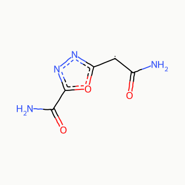 NC(=O)[CH]c1nnc(C(N)=O)o1